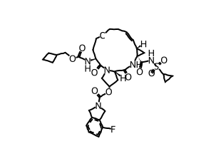 O=C(N[C@H]1CCCCC/C=C\[C@@H]2C[C@@]2(C(=O)NS(=O)(=O)C2CC2)NC(=O)[C@@H]2C[C@@H](OC(=O)N3Cc4cccc(F)c4C3)CN2C1=O)OCC1CCC1